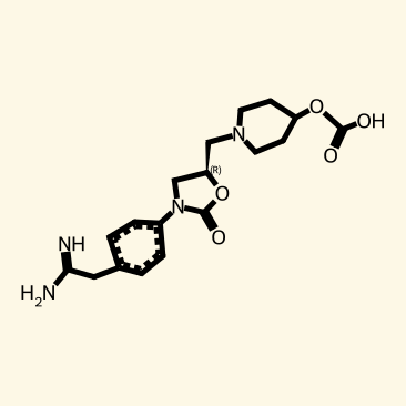 N=C(N)Cc1ccc(N2C[C@@H](CN3CCC(OC(=O)O)CC3)OC2=O)cc1